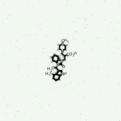 Cc1cccc2[nH]cc(C(C)n3c(=O)n(CC(CN4CCN(C)CC4)C(=O)O)c4ccccc43)c12